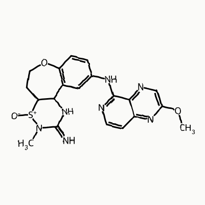 COc1cnc2c(Nc3ccc4c(c3)C3NC(=N)N(C)[S+]([O-])C3CCO4)nccc2n1